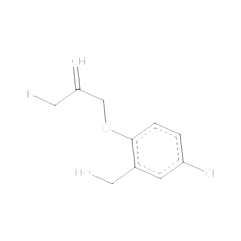 C=C(CF)COc1ccc(Cl)cc1CO